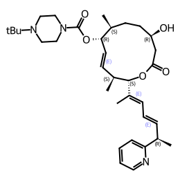 C/C(=C\C=C\[C@@H](C)c1ccccn1)[C@H]1OC(=O)C[C@H](O)CC[C@H](C)[C@@H](OC(=O)N2CCN(C(C)(C)C)CC2)/C=C/[C@@H]1C